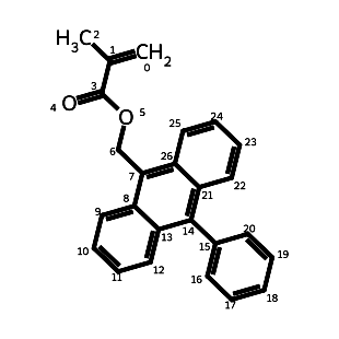 C=C(C)C(=O)OCc1c2ccccc2c(-c2ccccc2)c2ccccc12